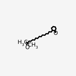 CC(C)(C=O)CCCCCCCCCCCCCCC1CCCCC1=O